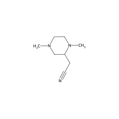 CN1CCN(C)C(CC#N)C1